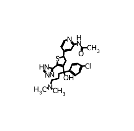 CC(=O)Nc1cc(C2CC(C(O)(CCCN(C)C)c3ccc(Cl)cc3)=C(c3nnc[nH]3)S2)ccn1